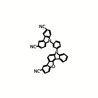 N#Cc1ccc2oc3c(ccc4c3c3ccccc3n4-c3cccc(-n4c5ccc(C#N)cc5c5cc(C#N)ccc54)c3)c2c1